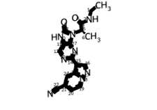 CCNC(=O)[C@@H](C)n1c(=O)[nH]c2cnc(-c3cnn4ccc(C#N)cc34)nc21